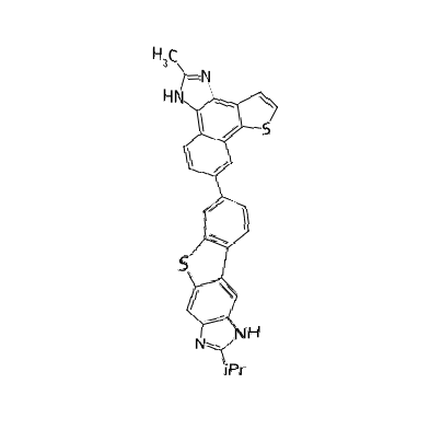 Cc1nc2c3ccsc3c3cc(-c4ccc5c(c4)sc4cc6nc(C(C)C)[nH]c6cc45)ccc3c2[nH]1